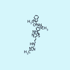 COc1cc(-c2csc3c(C=CCNCc4cnc(C)cn4)cnc(N)c23)ccc1NC(=O)c1cc2ccccc2n1C